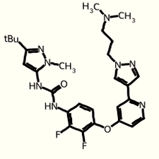 CN(C)CCCn1cc(-c2cc(Oc3ccc(NC(=O)Nc4cc(C(C)(C)C)nn4C)c(F)c3F)ccn2)cn1